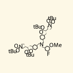 COc1cc(F)cc(CN(Cc2cccc(C[C@H](C(=O)OC(C)(C)C)[C@H]3CCN(C(=O)OC(C)(C)C)C3)c2)Cc2cccc(C[C@H](C(=O)OC(C)(C)C)[C@H]3CCN(C(=O)OC(C)(C)C)C3)c2)c1